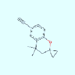 C#Cc1ccc2c(c1)C(C)(C)CC1(CC1)O2